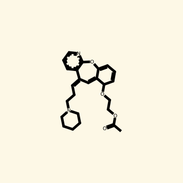 CC(=O)OCCOC1C=CC=C2Oc3ncccc3C(=CCCN3CCCCC3)C=C21